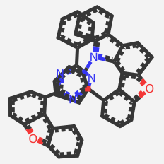 c1ccc(-c2nc(-c3cccc4oc5ccccc5c34)nc(-c3cccc4oc5ccc6c7ccccc7n(-c7ccccc7)c6c5c34)n2)cc1